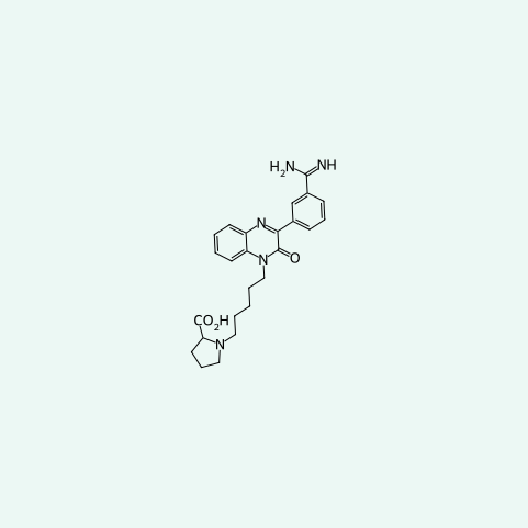 N=C(N)c1cccc(-c2nc3ccccc3n(CCCCCN3CCCC3C(=O)O)c2=O)c1